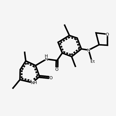 CCN(c1cc(C)cc(C(=O)Nc2c(C)cc(C)[nH]c2=O)c1C)C1COC1